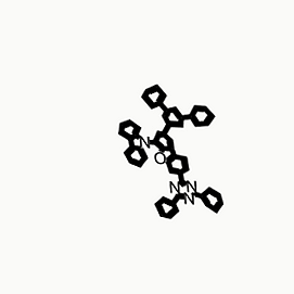 c1ccc(-c2cc(-c3ccccc3)cc(-c3cc(-n4c5ccccc5c5ccccc54)c4oc5cc(-c6nc(-c7ccccc7)nc(-c7ccccc7)n6)ccc5c4c3)c2)cc1